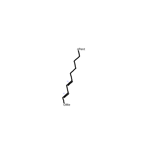 [CH2]O/C=C/C=C/CCCCCCCCC